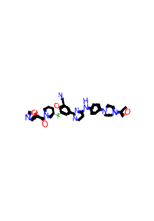 N#Cc1cc(-c2nccc(Nc3ccc(N4CCN(C5COC5)CC4)cc3)n2)ccc1O[C@H]1CCN(C(=O)c2cnco2)C[C@H]1F